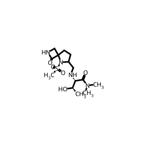 C[C@@H](O)[C@H](NCC1CCC2(CNC2=O)N1S(C)(=O)=O)C(=O)N(C)C